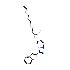 C=CCCCCCCCC(CN)Oc1ccc2ncc(-c3cc4ccccc4o3)n2n1